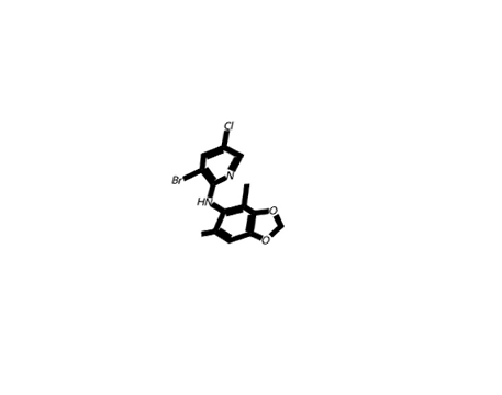 Cc1cc2c(c(C)c1Nc1ncc(Cl)cc1Br)OCO2